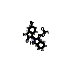 CC(=O)O/N=C1/C(=C2/C(=O)Nc3cc(Br)ccc32)Nc2ccccc21